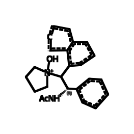 CC(=O)N[C@@H](c1ccccc1)C(c1cccc2ccccc12)[N+]1(O)CCCC1